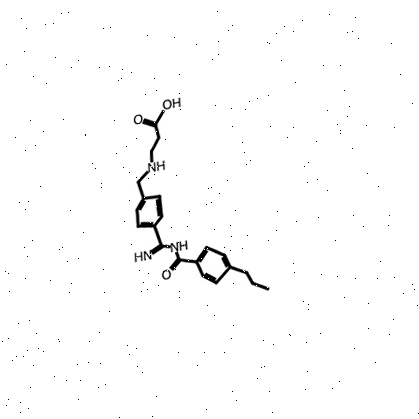 CCCc1ccc(C(=O)NC(=N)c2ccc(CNCCC(=O)O)cc2)cc1